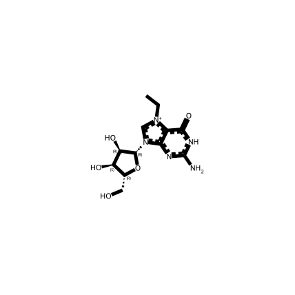 CC[n+]1cn([C@@H]2O[C@H](CO)[C@@H](O)[C@H]2O)c2nc(N)[nH]c(=O)c21